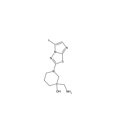 NCC1(O)CCCN(c2nn3c(I)cnc3s2)C1